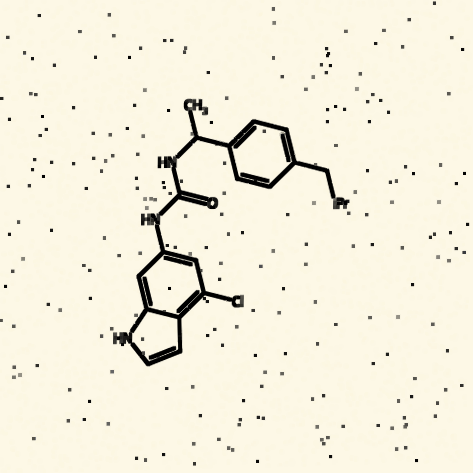 CC(C)Cc1ccc(C(C)NC(=O)Nc2cc(Cl)c3cc[nH]c3c2)cc1